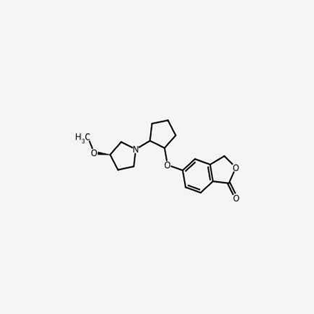 CO[C@@H]1CCN(C2CCCC2Oc2ccc3c(c2)COC3=O)C1